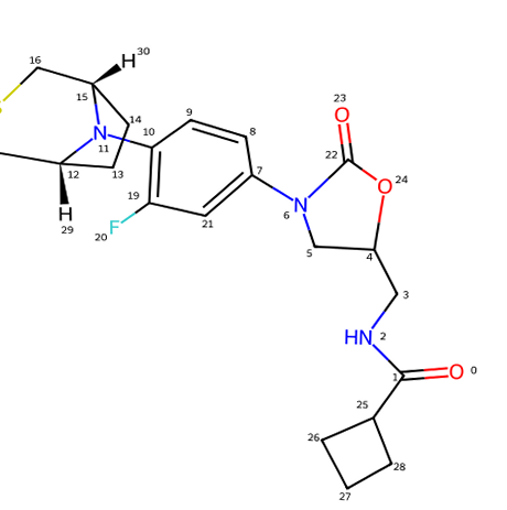 O=C(NCC1CN(c2ccc(N3[C@@H]4CC[C@H]3CSC4)c(F)c2)C(=O)O1)C1CCC1